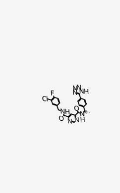 C[C@H](NC(=O)c1cc(C(=O)NCc2ccc(F)c(Cl)c2)ncn1)c1ccc(-c2nnn[nH]2)cc1